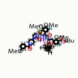 COc1cccc(C(=O)N2CCC(N3CCN(C(=O)NC(C(=O)NC(Cc4ccc(F)c(C(=O)OC(C)(C)C)c4OC)B4O[C@@H]5C[C@@H]6C[C@@H](C6(C)C)[C@]5(C)O4)c4cc(F)c(OC)c(OC)c4Cl)C3=O)CC2)c1